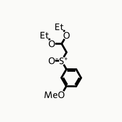 CCOC(C[S+]([O-])c1cccc(OC)c1)OCC